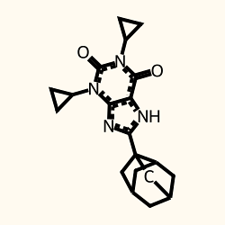 O=c1c2[nH]c(C34CC5CC(CC3C5)C4)nc2n(C2CC2)c(=O)n1C1CC1